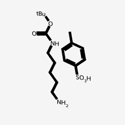 CC(C)(C)OC(=O)NCCCCCN.Cc1ccc(S(=O)(=O)O)cc1